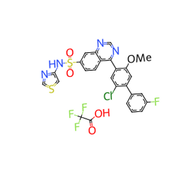 COc1cc(-c2cccc(F)c2)c(Cl)cc1-c1ncnc2cc(S(=O)(=O)Nc3cscn3)ccc12.O=C(O)C(F)(F)F